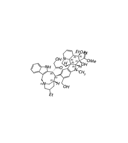 CCC1C[C@@H]2C[N@](Cc3c([nH]c4ccccc34)[C@H](C(=O)CO)[C@H]2c2cc3c(cc2CO)N(C)[C@H]2[C@@](O)(C(=O)OC)[C@H](OC(C)=O)[C@]4(CC)C=CCN5CC[C@]32[C@@H]54)C1